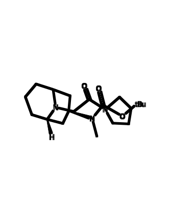 CN(C(=O)OC(C)(C)C)[C@@H]1CC2CCC[C@@H](C1)N2CC(=O)N1CCCC1